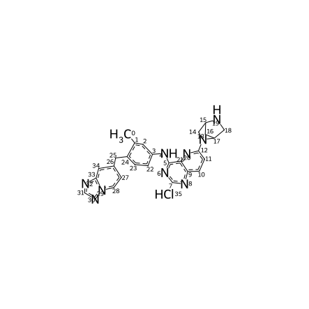 Cc1cc(Nc2ncnc3ccc(N4CC5CC4CN5)nc23)ccc1Cc1ccn2ncnc2c1.Cl